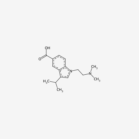 CC(C)c1cn(CCN(C)C)c2ccc(C(=O)O)cc12